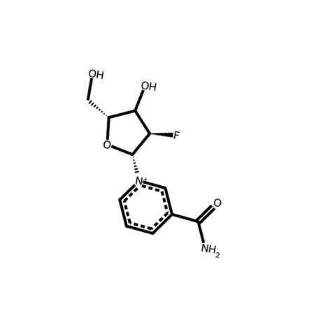 NC(=O)c1ccc[n+]([C@@H]2O[C@H](CO)C(O)[C@H]2F)c1